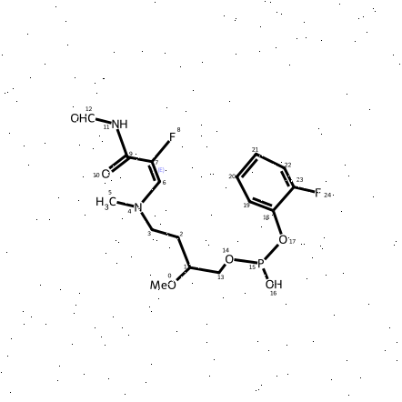 COC(CCN(C)/C=C(/F)C(=O)NC=O)COP(O)Oc1ccccc1F